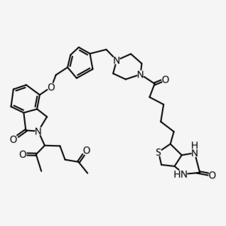 CC(=O)CCC(C(C)=O)N1Cc2c(OCc3ccc(CN4CCN(C(=O)CCCCC5SCC6NC(=O)NC65)CC4)cc3)cccc2C1=O